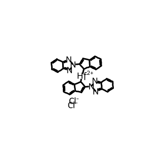 C1=C(n2nc3ccccc3n2)[CH]([Hf+2][CH]2C(n3nc4ccccc4n3)=Cc3ccccc32)c2ccccc21.[Cl-].[Cl-]